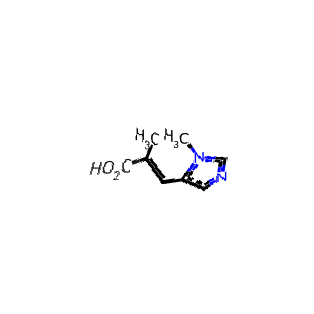 C/C(=C\c1cncn1C)C(=O)O